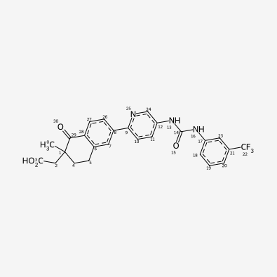 CC1(CC(=O)O)CCc2cc(-c3ccc(NC(=O)Nc4cccc(C(F)(F)F)c4)cn3)ccc2C1=O